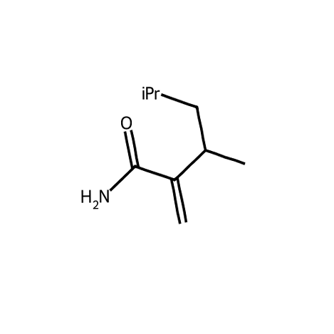 C=C(C(N)=O)C(C)CC(C)C